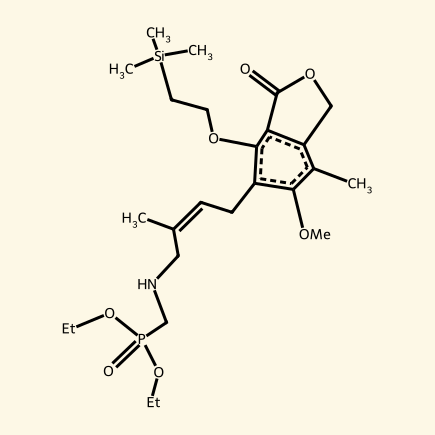 CCOP(=O)(CNCC(C)=CCc1c(OC)c(C)c2c(c1OCC[Si](C)(C)C)C(=O)OC2)OCC